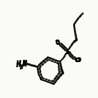 CCCS(=O)(=O)c1cccc(N)c1